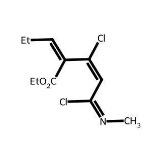 CC/C=C(C(=O)OCC)/C(Cl)=C\C(Cl)=N/C